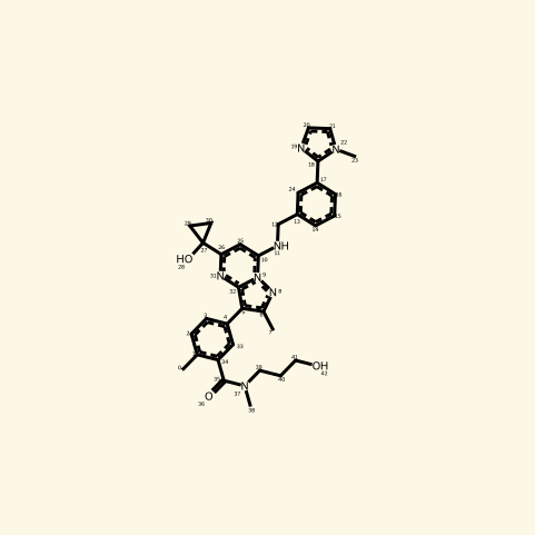 Cc1ccc(-c2c(C)nn3c(NCc4cccc(-c5nccn5C)c4)cc(C4(O)CC4)nc23)cc1C(=O)N(C)CCCO